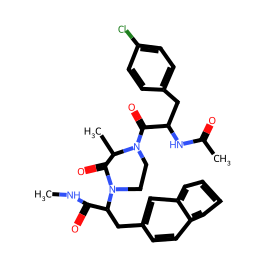 CNC(=O)C(Cc1ccc2ccccc2c1)N1CCN(C(=O)C(Cc2ccc(Cl)cc2)NC(C)=O)C(C)C1=O